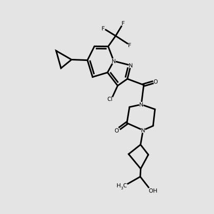 CC(O)C1CC(N2CCN(C(=O)c3nn4c(C(F)(F)F)cc(C5CC5)cc4c3Cl)CC2=O)C1